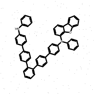 c1ccc(Nc2ccc(-c3ccc(-c4ccccc4-c4ccc(-c5ccc(N(c6ccccc6)c6cccc7c6oc6ccccc67)cc5)cc4)cc3)cc2)cc1